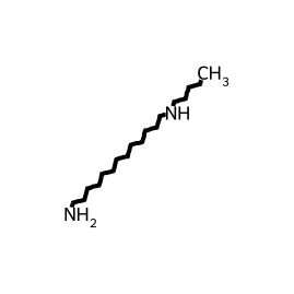 CCCCCNCCCCCCCCCCCCCN